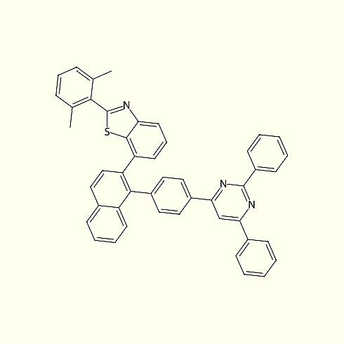 Cc1cccc(C)c1-c1nc2cccc(-c3ccc4ccccc4c3-c3ccc(-c4cc(-c5ccccc5)nc(-c5ccccc5)n4)cc3)c2s1